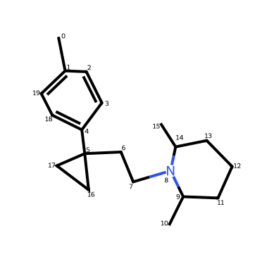 Cc1ccc(C2(CCN3C(C)CCCC3C)CC2)cc1